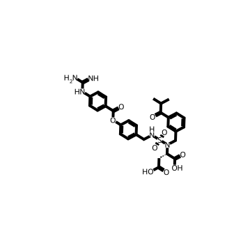 CC(C)C(=O)c1cccc(CN([C@@H](CC(=O)O)C(=O)O)S(=O)(=O)NCc2ccc(OC(=O)c3ccc(NC(=N)N)cc3)cc2)c1